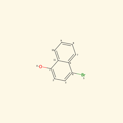 [O]c1ccc(Br)c2ccccc12